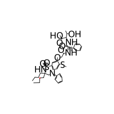 CCCCC1(CCCC)CN(c2ccccc2)c2cc(SC)c(OCC(=O)N[C@@H](C(=O)NC(C(=O)O)C(C)O)c3ccccc3)cc2S(=O)(=O)N1